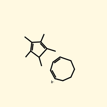 C1=CCCCCC=C1.CC1=C(C)C(C)C(C)=C1C.[Ir]